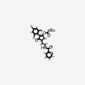 CCCCC(=O)OC1=C(c2c(C)cc(C)cc2C)C(=O)C(CCNC(=O)c2ccccn2)C1